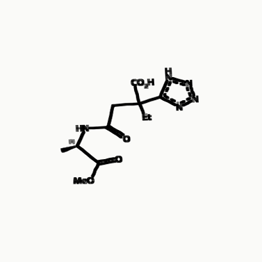 CCC(CC(=O)N[C@H](C)C(=O)OC)(C(=O)O)c1nnn[nH]1